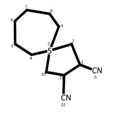 N#CC1CS2(CCCCCC2)CC1C#N